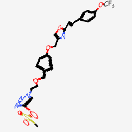 CS(=O)(=O)Oc1cn(CCOCc2ccc(OCc3coc(C=Cc4ccc(OC(F)(F)F)cc4)n3)cc2)nn1